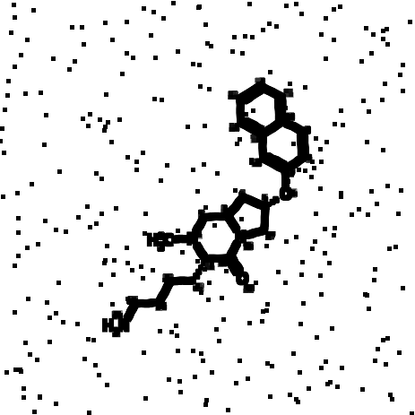 CN1CC2C[C@H](Oc3ccc4ccccc4c3)CN2C(=O)[C@@H]1CCCCN